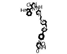 O=c1ccn(-c2ccc(C3CCN(CC4CCN(CCN5CCC(Nc6ncc(Cl)c(-c7c[nH]c8ccccc78)n6)C5)CC4)CC3)cc2)c(=O)[nH]1